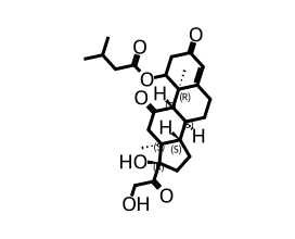 CC(C)CC(=O)OC1CC(=O)C=C2CC[C@H]3[C@@H]4CC[C@](O)(C(=O)CO)[C@@]4(C)CC(=O)[C@@H]3[C@]21C